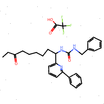 CCC(=O)CCCCCC(NC(=O)NCc1ccccc1)c1cccc(-c2ccccc2)n1.O=C(O)C(F)(F)F